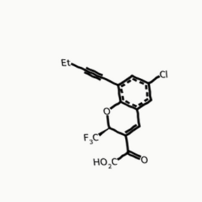 CCC#Cc1cc(Cl)cc2c1O[C@H](C(F)(F)F)C(C(=O)C(=O)O)=C2